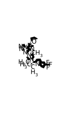 CC(C)[C@@H](c1ccc2cc(C(F)(F)F)ccc2n1)N1C[C@H](C)N(c2nc3nncn3c3c2ncn3C[C@@H]2CCCO2)C[C@H]1C